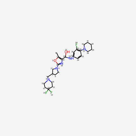 Cc1oc(N2CCC(CN3CCC(F)(F)CC3)C2)nc1C(O)Nc1ccc(N2CCCCC2)c(F)c1